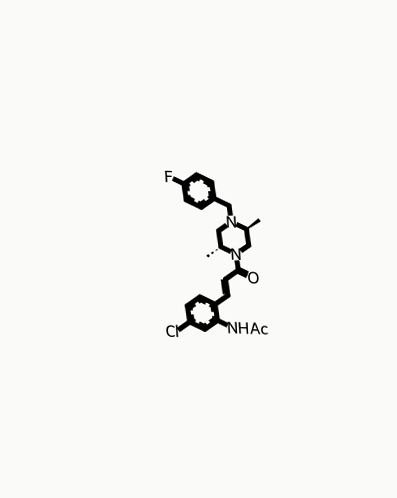 CC(=O)Nc1cc(Cl)ccc1C=CC(=O)N1C[C@H](C)N(Cc2ccc(F)cc2)C[C@H]1C